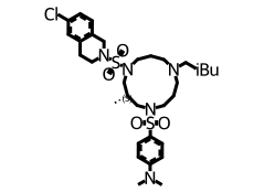 CCC(C)CN1CCCN(S(=O)(=O)c2ccc(N(C)C)cc2)C[C@H](C)CN(S(=O)(=O)N2CCc3cc(Cl)ccc3C2)CCC1